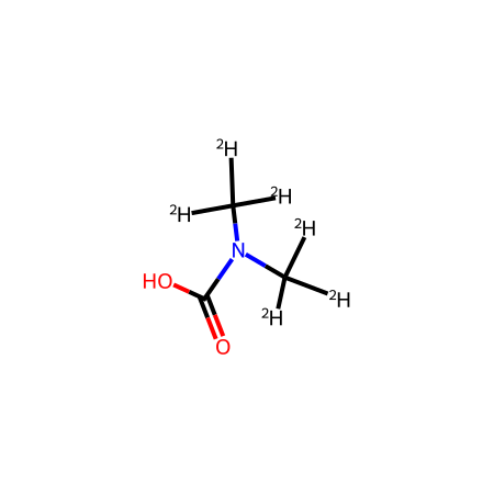 [2H]C([2H])([2H])N(C(=O)O)C([2H])([2H])[2H]